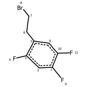 Fc1cc(F)c(CCBr)cc1F